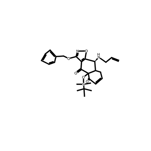 C=CCN[C@@H]1c2onc(OCc3ccccc3)c2C(=O)C2(O[Si](C)(C)C(C)(C)C)C(=O)C=CCC12